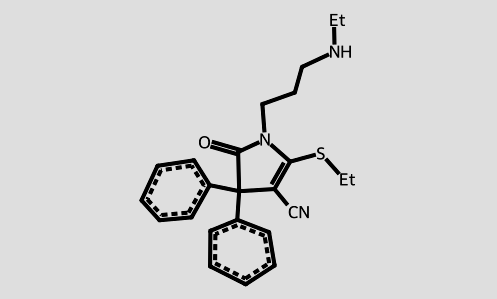 CCNCCCN1C(=O)C(c2ccccc2)(c2ccccc2)C(C#N)=C1SCC